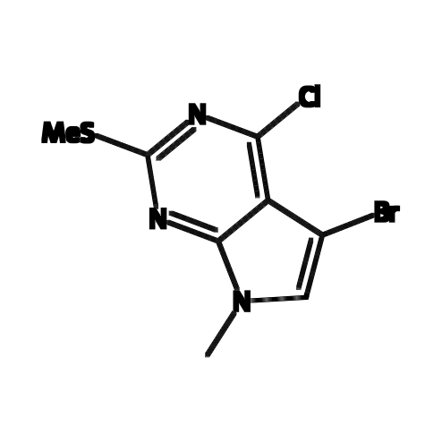 CSc1nc(Cl)c2c(Br)cn(C)c2n1